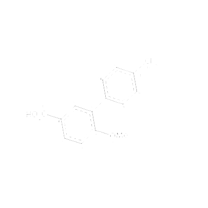 COc1ccc(C(=O)O)cc1-c1ccc(C(F)(F)F)cc1